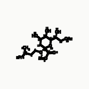 CCCN(C)CCO[C@]1(C(=O)OC)C[C@@H](O)[C@@H](O)C([C@H](O)COC(C)=O)O1